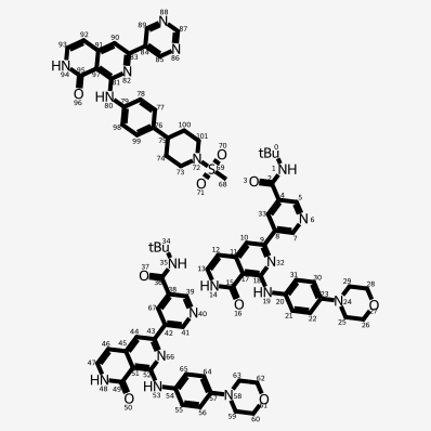 CC(C)(C)NC(=O)c1cncc(-c2cc3cc[nH]c(=O)c3c(Nc3ccc(N4CCOCC4)cc3)n2)c1.CC(C)(C)NC(=O)c1cncc(-c2cc3cc[nH]c(=O)c3c(Nc3ccc(N4CCOCC4)cc3)n2)c1.CS(=O)(=O)N1CCC(c2ccc(Nc3nc(-c4cncnc4)cc4cc[nH]c(=O)c34)cc2)CC1